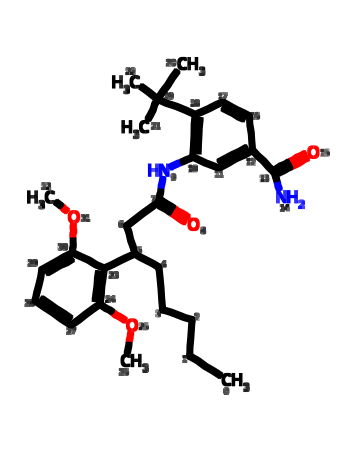 CCCCCC(CC(=O)Nc1cc(C(N)=O)ccc1C(C)(C)C)c1c(OC)cccc1OC